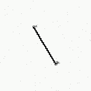 OCCCCCCCCCCCCCCCCCCCCCCCCCCCCCCCCCCC[SiH](Cl)Cl